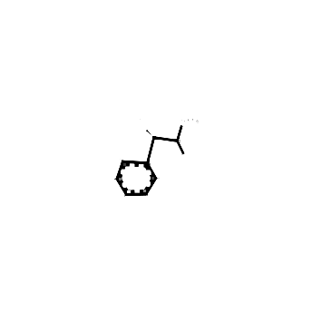 CNC(C)[C@H](O)c1ccccc1